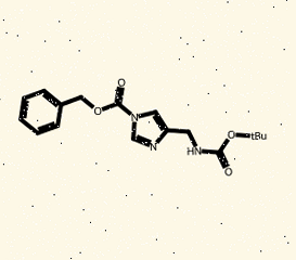 CC(C)(C)OC(=O)NCc1cn(C(=O)OCc2ccccc2)cn1